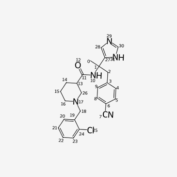 CC(Cc1ccc(C#N)cc1)(NC(=O)C1CCCN(Cc2ccccc2Cl)C1)c1cnc[nH]1